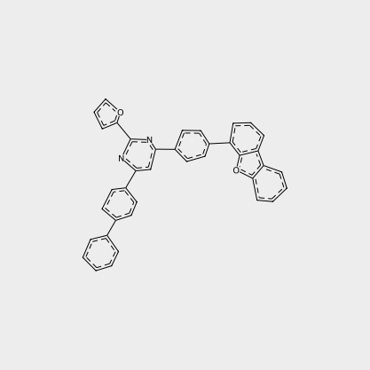 c1ccc(-c2ccc(-c3cc(-c4ccc(-c5cccc6c5oc5ccccc56)cc4)nc(-c4ccco4)n3)cc2)cc1